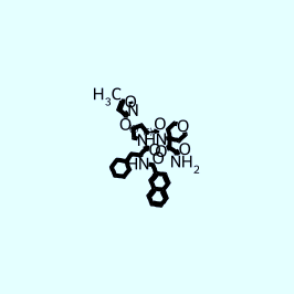 Cc1cc(O[C@H]2C[C@@H](C(=O)NC3(C(=O)C(N)=O)CCOCC3)N(C(=O)C(CC3CCCCC3)NC(=O)c3ccc4ccccc4c3)C2)no1